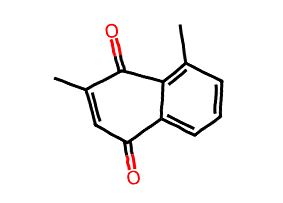 CC1=CC(=O)c2cccc(C)c2C1=O